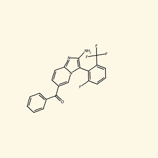 Nc1nc2ccc(C(=O)c3ccccc3)cn2c1-c1c(F)cccc1C(F)(F)F